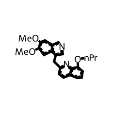 CCCOc1cccc2ccc(Cc3cncc4cc(OC)c(OC)cc34)nc12